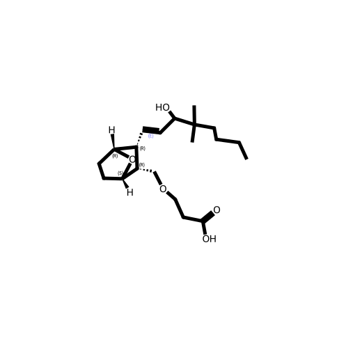 CCCCC(C)(C)C(O)/C=C/[C@@H]1[C@H](COCCC(=O)O)[C@@H]2CC[C@H]1O2